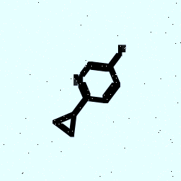 Fc1ccc(C2CC2)nc1